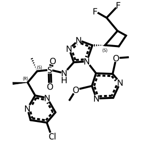 COc1ncnc(OC)c1-n1c(NS(=O)(=O)[C@@H](C)[C@H](C)c2ncc(Cl)cn2)nnc1[C@H]1CCC1C(F)F